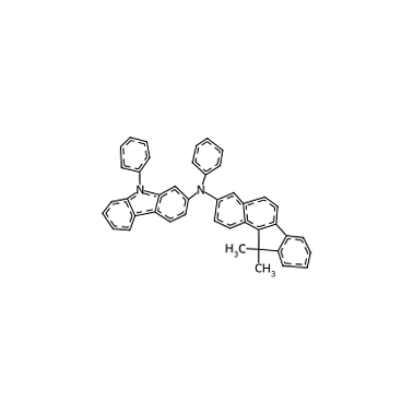 CC1(C)c2ccccc2-c2ccc3cc(N(c4ccccc4)c4ccc5c6ccccc6n(-c6ccccc6)c5c4)ccc3c21